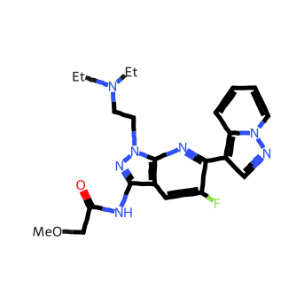 CCN(CC)CCn1nc(NC(=O)COC)c2cc(F)c(-c3cnn4ccccc34)nc21